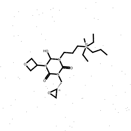 CCC[SH](C)(CC)(CC)CCCN1C(=O)N(C[C@@H]2CO2)C(=O)N(C2COC2)C1O